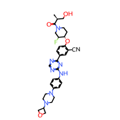 C[C@@H](CO)C(=O)N1CC[C@H](Oc2ccc(-c3ncnc(Nc4ccc(N5CCN(C6COC6)CC5)cc4)n3)cc2C#N)[C@@H](F)C1